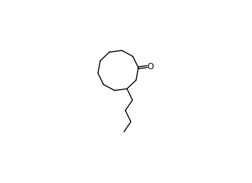 CCCCC1CCCCCCCC(=O)C1